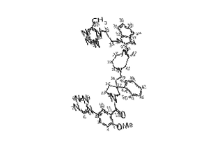 COc1ccc(-n2cnnn2)cc1C(=O)N1CC[C@](CCN2CCCN(c3nc4ccccc4n3CCn3nnnc3C)CC2)(c2ccccc2)C1